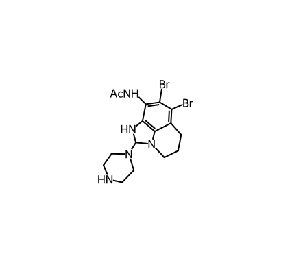 CC(=O)Nc1c(Br)c(Br)c2c3c1NC(N1CCNCC1)N3CCC2